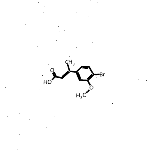 COc1cc(C(C)=CC(=O)O)ccc1Br